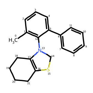 Cc1cccc(-c2ccccc2)c1N1[C]SC2=C1CCCC2